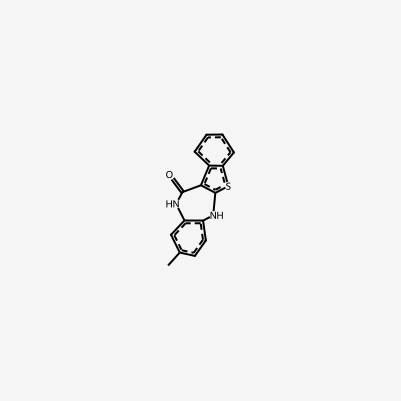 Cc1ccc2c(c1)NC(=O)c1c(sc3ccccc13)N2